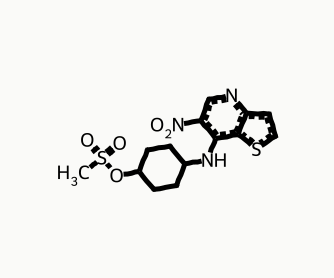 CS(=O)(=O)OC1CCC(Nc2c([N+](=O)[O-])cnc3ccsc23)CC1